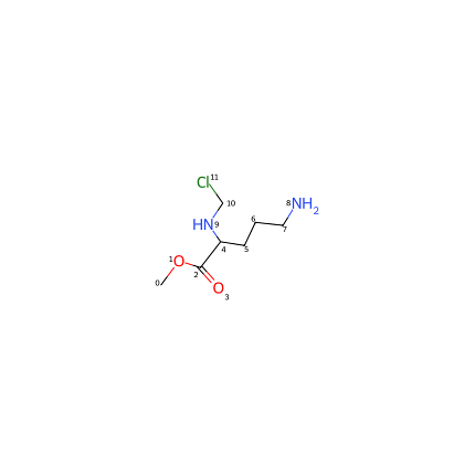 COC(=O)C(CCCN)NCCl